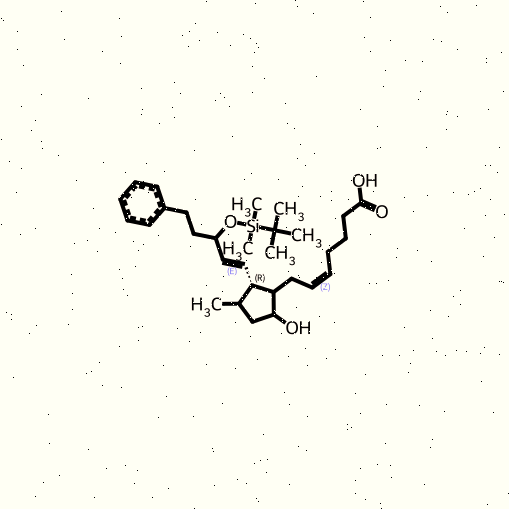 CC1CC(O)C(C/C=C\CCCC(=O)O)[C@H]1/C=C/C(CCc1ccccc1)O[Si](C)(C)C(C)(C)C